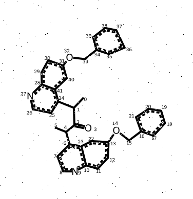 CC(C(=O)C(C)c1ccnc2ccc(OCc3ccccc3)cc12)c1ccnc2ccc(OCc3ccccc3)cc12